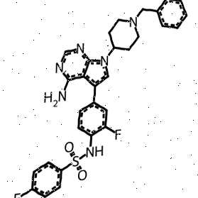 Nc1ncnc2c1c(-c1ccc(NS(=O)(=O)c3ccc(F)cc3)c(F)c1)cn2C1CCN(Cc2ccccc2)CC1